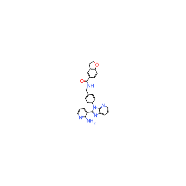 Nc1ncccc1-c1nc2cccnc2n1-c1ccc(CNC(=O)c2ccc3c(c2)CCO3)cc1